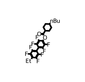 CCCCC1CCC(C(=O)Oc2c(F)c(F)c(-c3c(F)c(F)c(CC)c(F)c3F)c(F)c2F)CC1